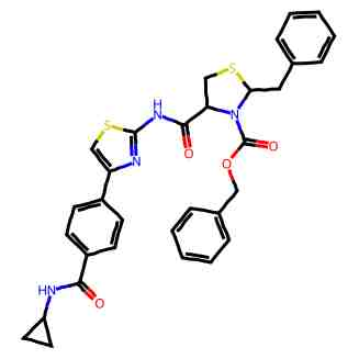 O=C(NC1CC1)c1ccc(-c2csc(NC(=O)C3CSC(Cc4ccccc4)N3C(=O)OCc3ccccc3)n2)cc1